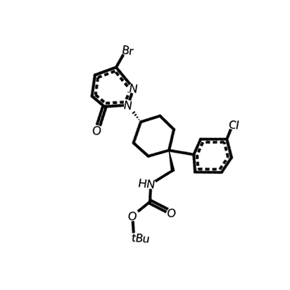 CC(C)(C)OC(=O)NC[C@]1(c2cccc(Cl)c2)CC[C@@H](n2nc(Br)ccc2=O)CC1